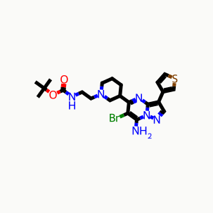 CC(C)(C)OC(=O)NCCN1CCCC(c2nc3c(-c4ccsc4)cnn3c(N)c2Br)C1